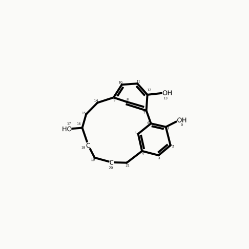 Oc1ccc2cc1-c1cc(ccc1O)CCC(O)CCCC2